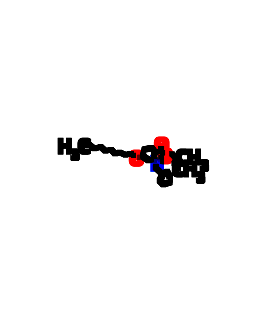 CCCCCCCCCCOc1ccc(C(=O)OC[C@@H](C)CC)c(N=Cc2ccccc2)c1